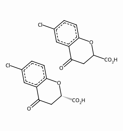 O=C1CC(C(=O)O)Oc2ccc(Cl)cc21.O=C1C[C@@H](C(=O)O)Oc2ccc(Cl)cc21